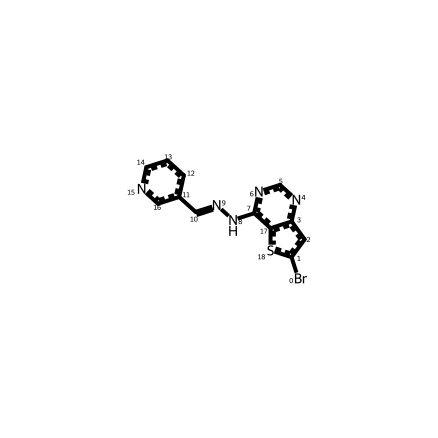 Brc1cc2ncnc(NN=Cc3cccnc3)c2s1